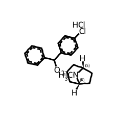 CN1[C@@H]2CC[C@H]1C[C@@H](OC(c1ccccc1)c1ccc(Cl)cc1)C2.Cl